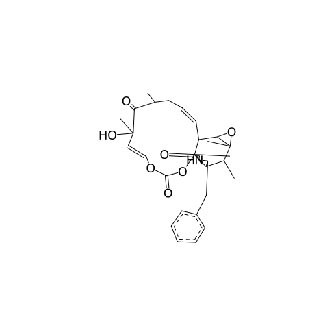 CC1C/C=C\C2C3OC3(C)C(C)C3C(Cc4ccccc4)NC(=O)C23OC(=O)O/C=C/C(C)(O)C1=O